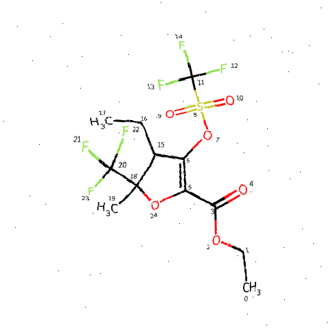 CCOC(=O)C1=C(OS(=O)(=O)C(F)(F)F)C(CC)C(C)(C(F)(F)F)O1